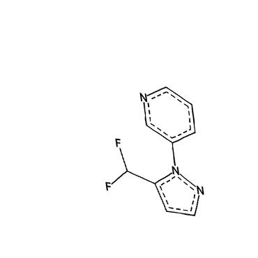 FC(F)c1ccnn1-c1cccnc1